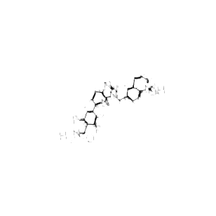 NC(=O)c1c(F)cc(-c2ccc3nnn(Cc4ccc5c(ccc[n+]5O)c4)c3n2)cc1F